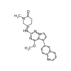 COc1nc(N[C@@H]2CCC(=O)N(C)C2)nn2ccc(-c3ccc4ncccc4c3)c12